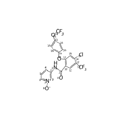 O=C(Nc1ccc[n+]([O-])c1)c1cc(C(F)(F)F)c(Cl)cc1Oc1ccc(OC(F)(F)F)cc1